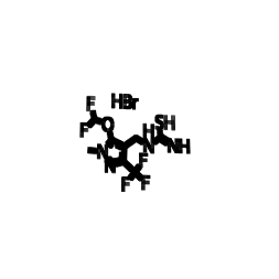 Br.Cn1nc(C(F)(F)F)c(CNC(=N)S)c1OC(F)F